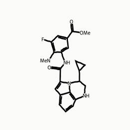 CNc1c(F)cc(C(=O)OC)cc1NC(=O)c1cc2cccc3c2n1C(C1CC1)CN3